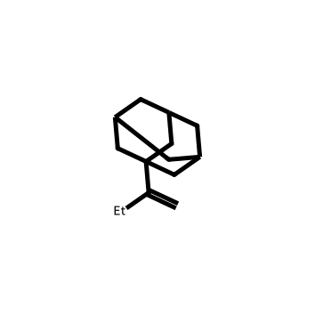 C=C(CC)C12CC3CC(CC(C3)C1)C2